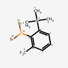 C[Si](C)(C)c1cccc(C(F)(F)F)c1P(Br)Br